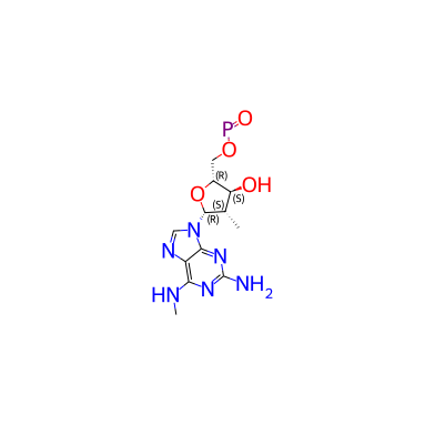 CNc1nc(N)nc2c1ncn2[C@@H]1O[C@H](COP=O)[C@@H](O)[C@@H]1C